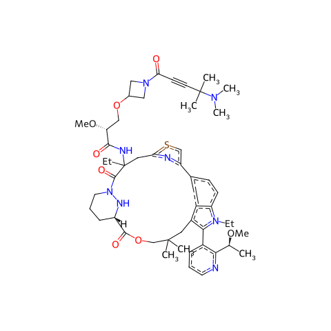 CCn1c(-c2cccnc2[C@H](C)OC)c2c3cc(ccc31)-c1csc(n1)CC(CC)(NC(=O)[C@@H](COC1CN(C(=O)C#CC(C)(C)N(C)C)C1)OC)C(=O)N1CCC[C@H](N1)C(=O)OCC(C)(C)C2